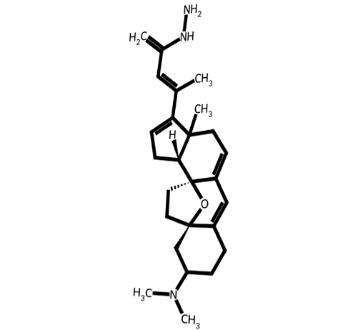 C=C(/C=C(\C)C1=CC[C@@H]2C1(C)CC=C1C=C3CCC(N(C)C)C[C@]34CC[C@@]12O4)NN